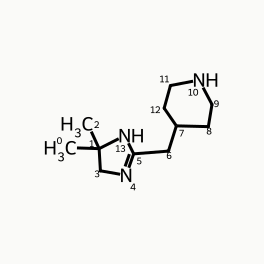 CC1(C)CN=C(CC2CCNCC2)N1